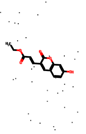 CCOC(=O)/C=C/c1cc2ccc(O)cc2oc1=O